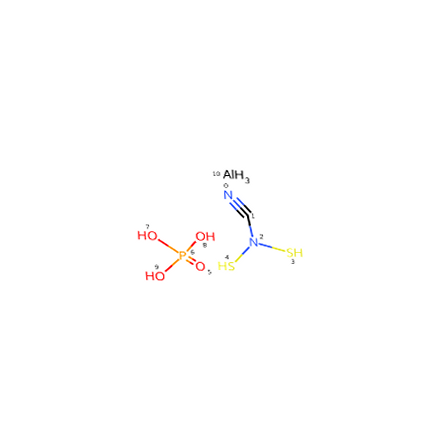 N#CN(S)S.O=P(O)(O)O.[AlH3]